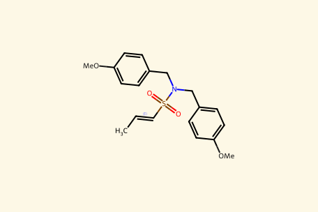 C/C=C/S(=O)(=O)N(Cc1ccc(OC)cc1)Cc1ccc(OC)cc1